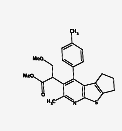 COCC(C(=O)OC)c1c(C)nc2sc3c(c2c1-c1ccc(C)cc1)CCC3